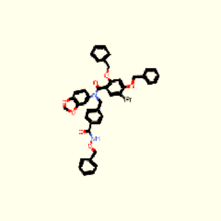 CC(C)c1cc(C(=O)N(Cc2ccc(C(=O)NOCc3ccccc3)cc2)c2ccc3c(c2)OCO3)c(OCc2ccccc2)cc1OCc1ccccc1